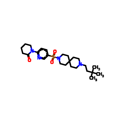 CC(C)(C)CCN1CCC2(CC1)CCN(S(=O)(=O)c1ccc(N3CCCCC3=O)nc1)CC2